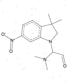 CN(C)C(C=O)N1CC(C)(C)c2ccc([N+](=O)[O-])cc21